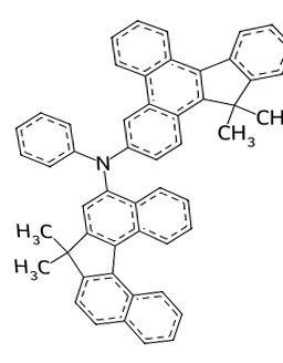 CC1(C)c2ccc3ccccc3c2-c2c1cc(N(c1ccccc1)c1ccc3c4c(c5ccccc5c3c1)-c1ccccc1C4(C)C)c1ccccc21